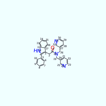 O=C(Cc1c(-c2ccccc2)[nH]c2ccccc12)N(Cc1cccnc1)Cc1cccnc1